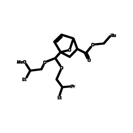 CCC(C)COC(=O)C1CC2(C(OCC(CC)OC)OCC(CC)C(C)C)C=CC1O2